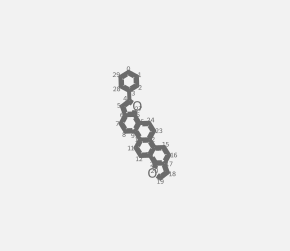 c1ccc(-c2cc3ccc4c5ccc6c(ccc7ccoc76)c5ccc4c3o2)cc1